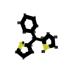 c1ccc(C(c2cccs2)c2cccs2)cc1